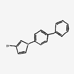 Brc1ccn(-c2ccc(-c3ccccc3)cc2)c1